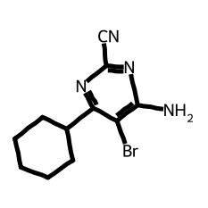 N#Cc1nc(N)c(Br)c(C2CCCCC2)n1